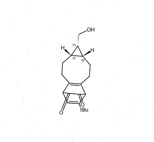 CC(C)(C)C1=CC2C(=O)C(=O)C1C1=C2CC[C@@H]2[C@H](CO)[C@@H]2CC1